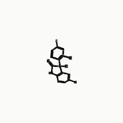 O=C1Nc2ccc(Cl)cc2C1(Cl)c1ccc(F)cc1Cl